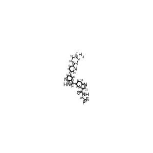 CN1CCN(c2ccc(-c3cnc4[nH]cc(-c5ccc6ncc(C(=O)NCC(F)F)n6c5)c4c3)cn2)CC1